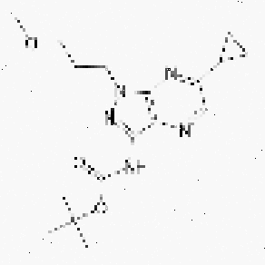 COCCCn1nc(NC(=O)OC(C)(C)C)c2ncc(C3CC3)nc21